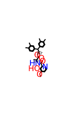 COc1ccnc(C(=O)N[C@@H](C)C(=O)O[C@@H](C)C(c2ccc(C)c(C)c2)c2ccc(C)c(C)c2)c1O